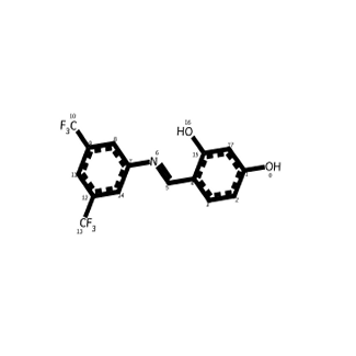 Oc1ccc(C=Nc2cc(C(F)(F)F)cc(C(F)(F)F)c2)c(O)c1